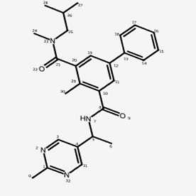 Cc1ncc(C(C)NC(=O)c2cc(-c3ccccc3)cc(C(=O)N(C)CC(C)C)c2C)cn1